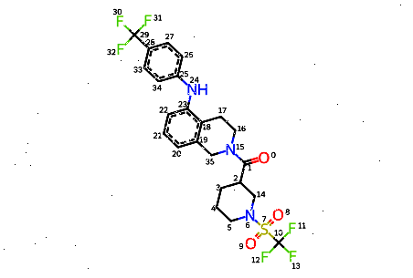 O=C(C1CCCN(S(=O)(=O)C(F)(F)F)C1)N1CCc2c(cccc2Nc2ccc(C(F)(F)F)cc2)C1